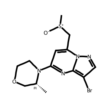 C[C@@H]1COCCN1c1cc(C[S+](C)[O-])n2ncc(Br)c2n1